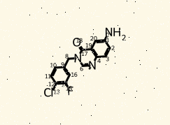 Nc1ccc2ncn(Cc3ccc(Cl)c(F)c3)c(=O)c2c1